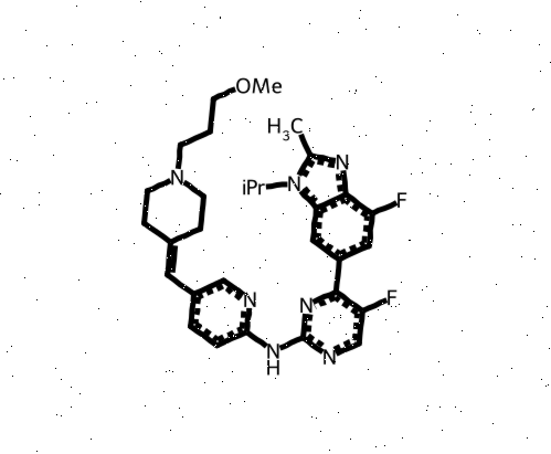 COCCCN1CCC(=Cc2ccc(Nc3ncc(F)c(-c4cc(F)c5nc(C)n(C(C)C)c5c4)n3)nc2)CC1